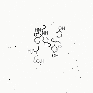 C=CC(N)CCC(=O)O.O=C1NC(=O)C(c2ccccc2)(c2ccccc2)N1.O=c1c(-c2ccc(O)cc2)coc2cc(O)cc(O)c12